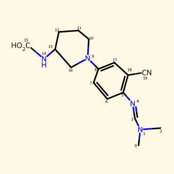 CN(C)/C=N/c1ccc(N2CCCC(NC(=O)O)C2)cc1C#N